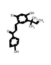 C=CC(C)(C)c1cc(/C=C/C(=O)c2ccc(O)cc2)c(CC)cc1O